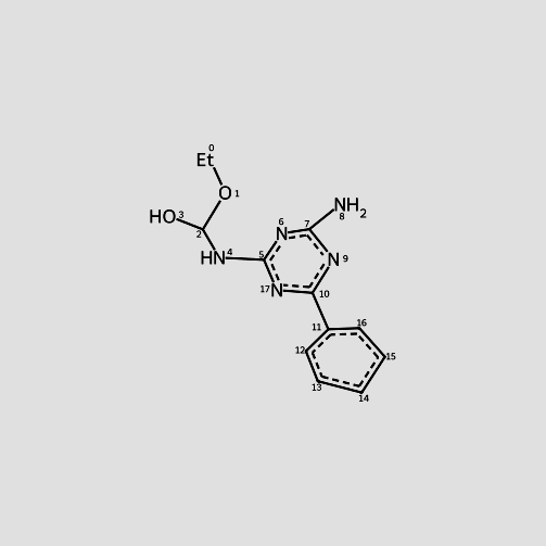 CCOC(O)Nc1nc(N)nc(-c2ccccc2)n1